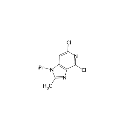 Cc1nc2c(Cl)nc(Cl)cc2n1C(C)C